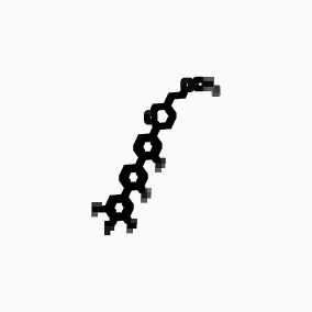 COCCC1CCC(c2ccc(-c3ccc(-c4cc(F)c(F)c(F)c4)c(F)c3)c(F)c2)OC1